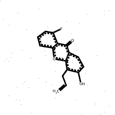 C=CCc1c(O)ccc2c(=O)c3c(F)cccc3oc12